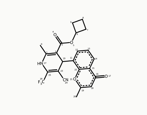 CC1=C(C(=O)OC2CCC2)C(c2cccc3c(=O)cc(C)oc23)C(C#N)=C(C(F)(F)F)N1